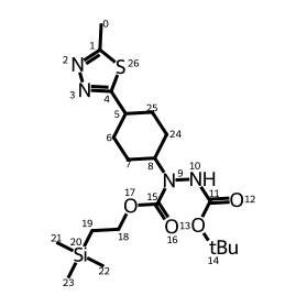 Cc1nnc(C2CCC(N(NC(=O)OC(C)(C)C)C(=O)OCC[Si](C)(C)C)CC2)s1